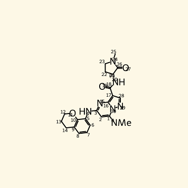 CNc1cc(Nc2cccc3c2OCCC3)nc2c(C(=O)N[C@@H]3CCN(C)C3=O)cnn12